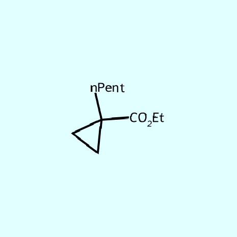 CCCCCC1(C(=O)OCC)CC1